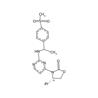 CC(Nc1nccc(N2C(=O)OC[C@@H]2C(C)C)n1)c1ccc(S(C)(=O)=O)cc1